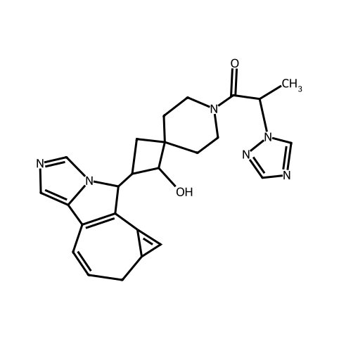 CC(C(=O)N1CCC2(CC1)CC(C1C3=C(C=CCC4C=C34)c3cncn31)C2O)n1cncn1